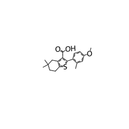 COc1ccc(-c2sc3c(c2C(=O)O)CC(C)(C)CC3)c(C)c1